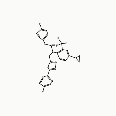 O=C(Nc1ccc(F)cc1)C(Cc1nnc(-c2ncc(Cl)cn2)o1)c1ccc(C2CC2)cc1C(F)(F)F